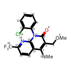 CNc1c(COC)c(=O)n(-c2ccccc2Cl)c2nc(C(F)(F)F)ccc12